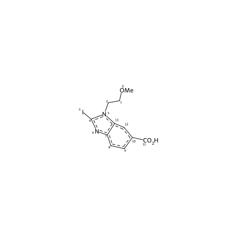 COCCn1c(I)nc2ccc(C(=O)O)cc21